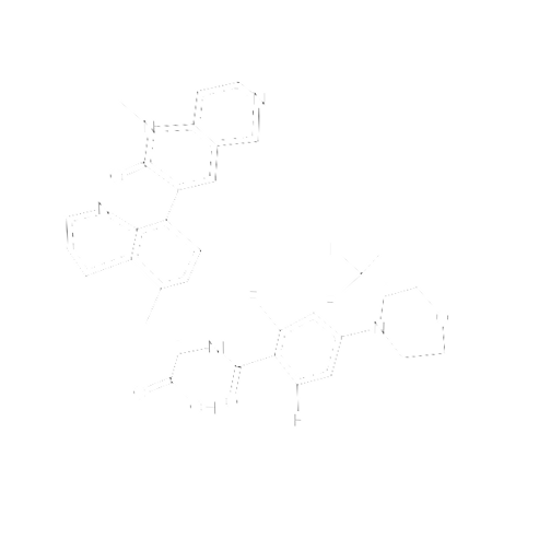 Cn1c(=O)c(-c2ccc(C[C@H](NC(=O)c3c(F)cc(N4CCOC[C@H]4C(F)(F)F)cc3F)C(=O)O)c3cccnc23)cc2cnccc21